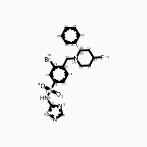 O=S(=O)(Nc1ncns1)c1ccc(CN2CCC(F)C[C@H]2c2ccccc2)c(Br)c1